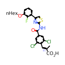 CCCCCCOc1cccc(-c2csc(NC(=O)c3cc(Cl)c(/C=C(\C)C(=O)O)c(Cl)c3)n2)c1F